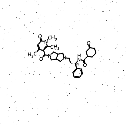 Cc1cc(=O)n(C)c(C)c1C(=O)N1CC2CN(CC[C@H](NC(=O)C3CCCC(=O)C3)c3ccccc3)CC2C1